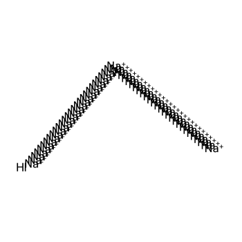 I.[Na+].[Na+].[Na+].[Na+].[Na+].[Na+].[Na+].[Na+].[Na+].[Na+].[Na+].[Na+].[Na+].[Na+].[Na+].[Na+].[Na+].[Na+].[Na+].[Na+].[Na+].[Na+].[Na+].[Na+].[Na+].[Na+].[Na+].[Na+].[Na+].[Na+].[Na+].[Na+].[Na+].[Na+].[Na+].[Na+].[Na+].[Na+].[Na+].[Na+].[Na+].[Na+].[Na+].[Na+].[Na+].[Na+].[Na+].[Na+].[Na+].[Na+].[Na+].[Na+].[Na+].[Na+].[Na+]